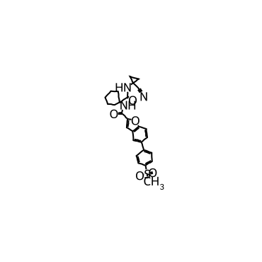 CS(=O)(=O)c1ccc(-c2ccc3oc(C(=O)NC4(C(=O)NC5(C#N)CC5)CCCCC4)cc3c2)cc1